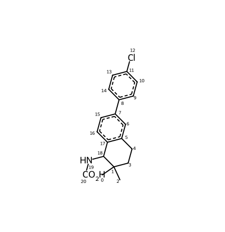 CC1(C)CCc2cc(-c3ccc(Cl)cc3)ccc2C1NC(=O)O